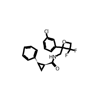 O=C(NCC1(c2cccc(Cl)c2)OCC1(F)F)[C@H]1C[C@@H]1c1ccccc1